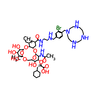 CCC1CC(C(=O)NCCNCc2ccc(CN3CCCNCCNCCCNCC3)c(Br)c2)CC2OC3OC(COC4(C)OC(OC12)C(O)C(O)C4O)C(O)C(O[C@@H](CC1CCCCC1)C(=O)O)C3NC(C)=O